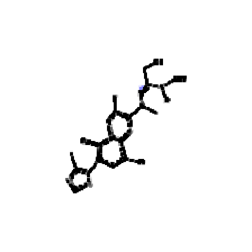 CCN(C=O)/C(CO)=N\N(C)c1cc2c(C(C)C)cn(-c3scnc3C)c(=O)c2cc1F